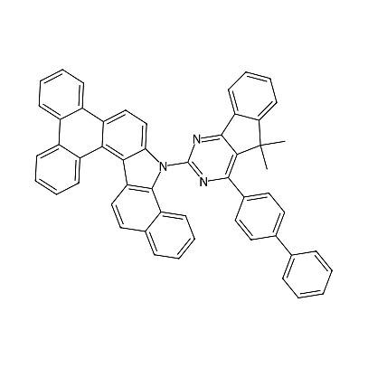 CC1(C)c2ccccc2-c2nc(-n3c4ccc5c6ccccc6c6ccccc6c5c4c4ccc5ccccc5c43)nc(-c3ccc(-c4ccccc4)cc3)c21